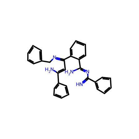 N=C(/N=C(\N)c1ccccc1C(/C=C(\N)c1ccccc1)=N/Cc1ccccc1)c1ccccc1